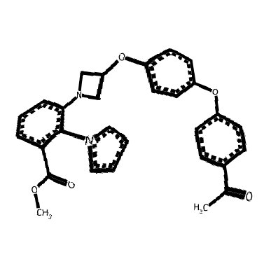 COC(=O)c1cccc(N2CC(Oc3ccc(Oc4ccc(C(C)=O)cc4)cc3)C2)c1-n1cccc1